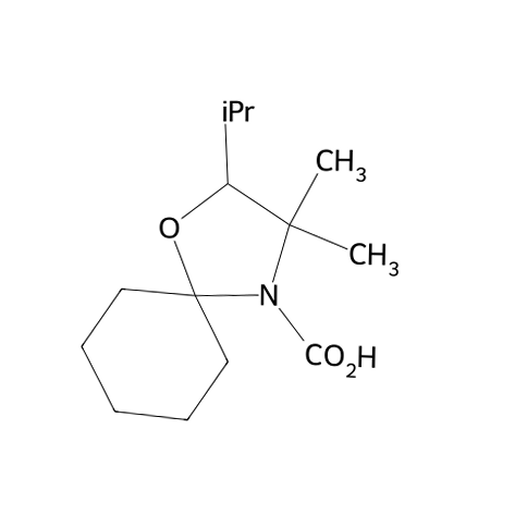 CC(C)C1OC2(CCCCC2)N(C(=O)O)C1(C)C